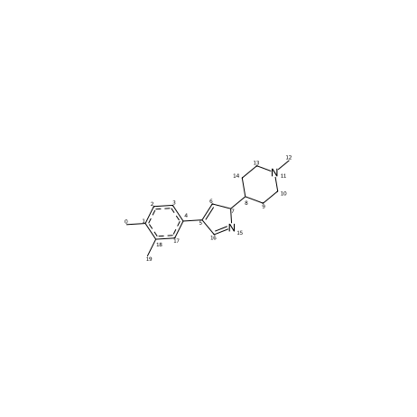 Cc1ccc(C2=CC(C3CCN(C)CC3)N=C2)cc1C